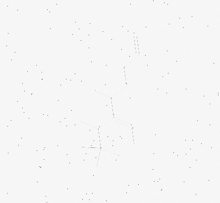 C=CCCC(O)C1=CC=CC(C)(C)C1C